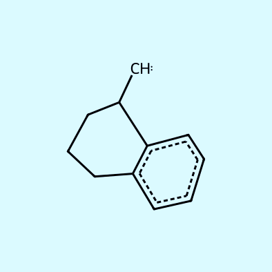 [CH]C1CCCc2ccccc21